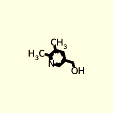 Cc1cc(CO)cnc1C